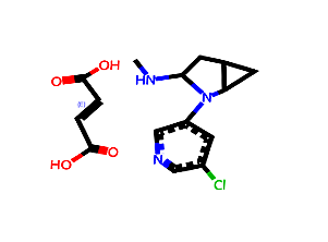 CNC1CC2CC2N1c1cncc(Cl)c1.O=C(O)/C=C/C(=O)O